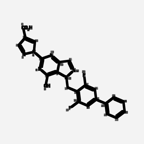 O=C(O)c1cnn(-c2nc(O)c3c(cnn3Cc3c(F)cc(-c4ccccc4)cc3F)n2)c1